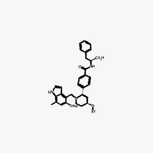 CCO[C@H]1CCN(Cc2c(OC)cc(C)c3[nH]ccc23)[C@H](c2ccc(C(=O)N[C@@H](Cc3ccccc3)C(=O)O)cc2)C1